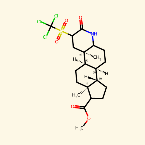 COC(=O)C1CC[C@H]2[C@@H]3CCC4NC(=O)C(S(=O)(=O)C(Cl)(Cl)Cl)C[C@]4(C)[C@@H]3CC[C@]12C